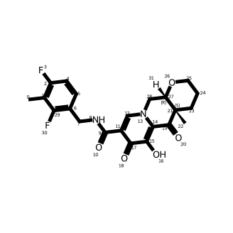 Cc1c(F)ccc(CNC(=O)c2cn3c(c(O)c2=O)C(=O)[C@@]2(C)CCCO[C@H]2C3)c1F